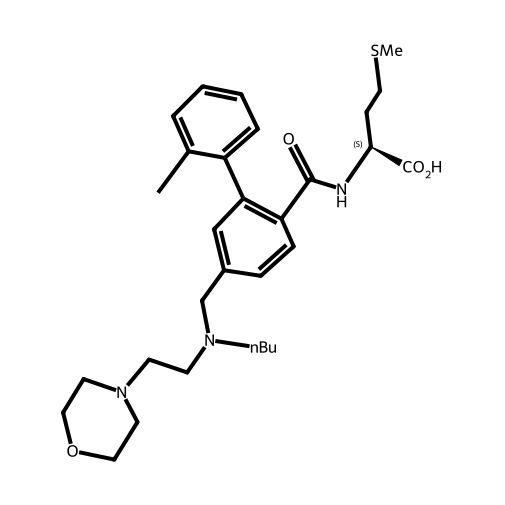 CCCCN(CCN1CCOCC1)Cc1ccc(C(=O)N[C@@H](CCSC)C(=O)O)c(-c2ccccc2C)c1